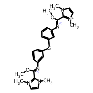 CO/C(=N\c1cccc(Sc2cccc(/N=C(\OC)c3n(C)cc[n+]3C)c2)c1)c1n(C)cc[n+]1C